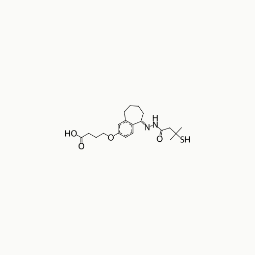 CC(C)(S)CC(=O)NN=C1CCCCc2cc(OCCCC(=O)O)ccc21